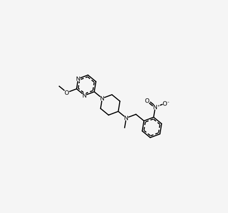 COc1nccc(N2CCC(N(C)Cc3ccccc3[N+](=O)[O-])CC2)n1